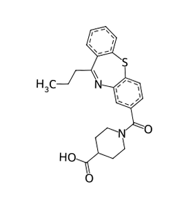 CCCC1=Nc2cc(C(=O)N3CCC(C(=O)O)CC3)ccc2Sc2ccccc21